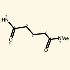 CNC(=O)CCCC([NH])=O